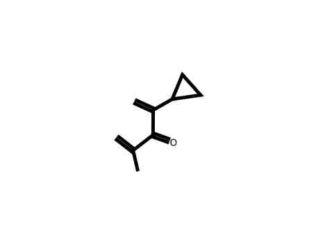 C=C(C)C(=O)C(=C)[C]1CC1